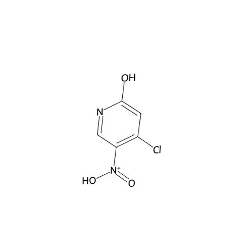 O=[N+](O)c1cnc(O)cc1Cl